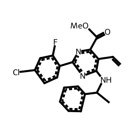 C=Cc1c(NC(C)c2ccccc2)nc(-c2ccc(Cl)cc2F)nc1C(=O)OC